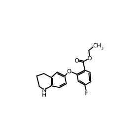 CCOC(=O)c1ccc(F)cc1Oc1ccc2c(c1)CCCN2